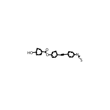 O=C(Oc1ccc(C#Cc2ccc(N=C=S)cc2)cc1)c1ccc(O)cc1